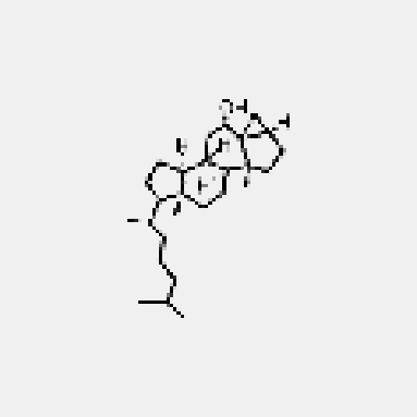 CC(C)CCC[C@@H](C)[C@H]1CC[C@H]2[C@@H]3C[C@@H](O)[C@]45C[C@@H]4CC[C@]5(C)[C@H]3CC[C@]12C